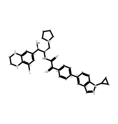 O=C(N[C@H](CN1CCCC1)[C@H](O)c1cc(F)c2c(c1)OCCO2)C(=O)c1ccc(-c2ccc3c(cnn3C3CC3)c2)cc1